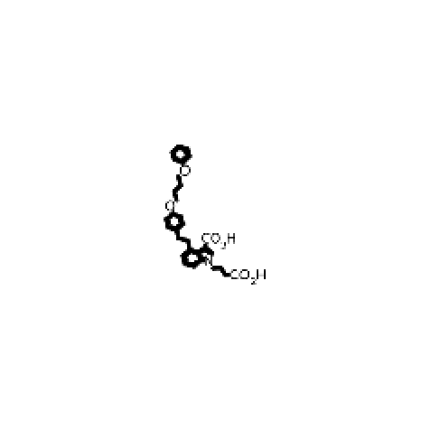 O=C(O)CCCn1cc(C(=O)O)c2c(CCc3ccc(OCCCCOc4ccccc4)cc3)cccc21